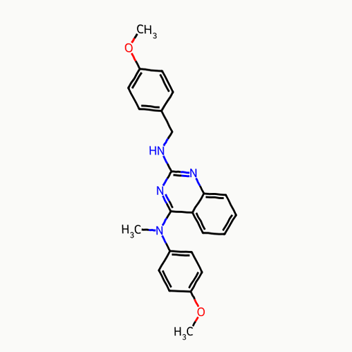 COc1ccc(CNc2nc(N(C)c3ccc(OC)cc3)c3ccccc3n2)cc1